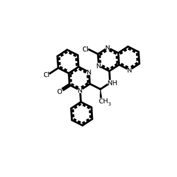 C[C@H](Nc1nc(Cl)nc2cccnc12)c1nc2cccc(Cl)c2c(=O)n1-c1ccccc1